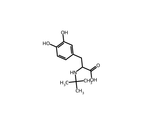 CC(C)(C)NC(Cc1ccc(O)c(O)c1)C(=O)O